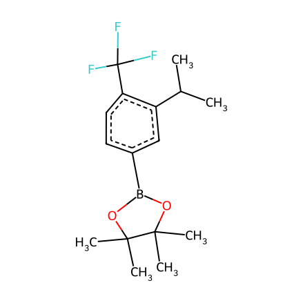 CC(C)c1cc(B2OC(C)(C)C(C)(C)O2)ccc1C(F)(F)F